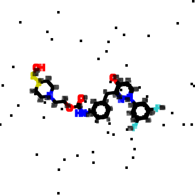 O=C(Nc1cccc(Cc2nn(-c3cc(F)cc(F)c3)ccc2=O)c1)OCCN1CC[S](SO)CC1